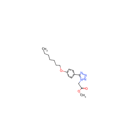 CCCCCCCOc1ccc(-c2nnnn2CC(=O)OC)cc1